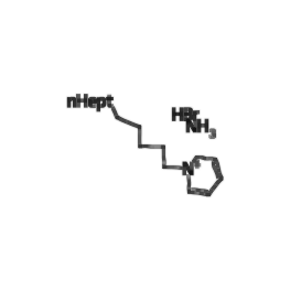 Br.CCCCCCCCCCCC[n+]1ccccc1.N